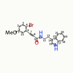 COc1ccc(Br)c(C#CC(=O)NCCc2c[nH]c3ccccc23)c1